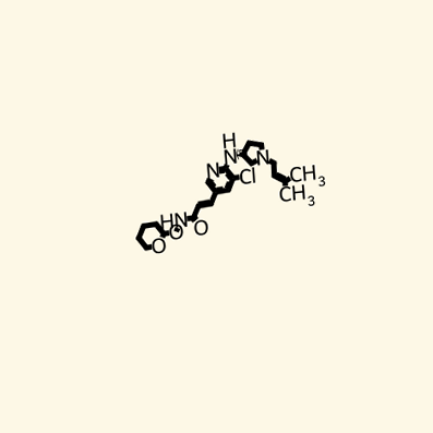 CC(C)=CCN1CC[C@@H](Nc2ncc(C=CC(=O)NOC3CCCCO3)cc2Cl)C1